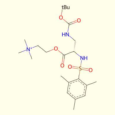 Cc1cc(C)c(S(=O)(=O)N[C@@H](CNC(=O)OC(C)(C)C)C(=O)OCC[N+](C)(C)C)c(C)c1